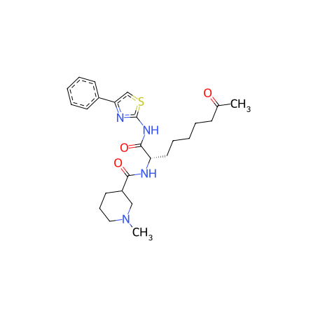 CC(=O)CCCCC[C@H](NC(=O)C1CCCN(C)C1)C(=O)Nc1nc(-c2ccccc2)cs1